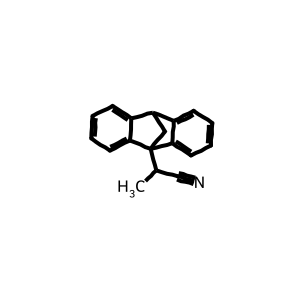 CC(C#N)C12CC(c3ccccc31)c1ccccc12